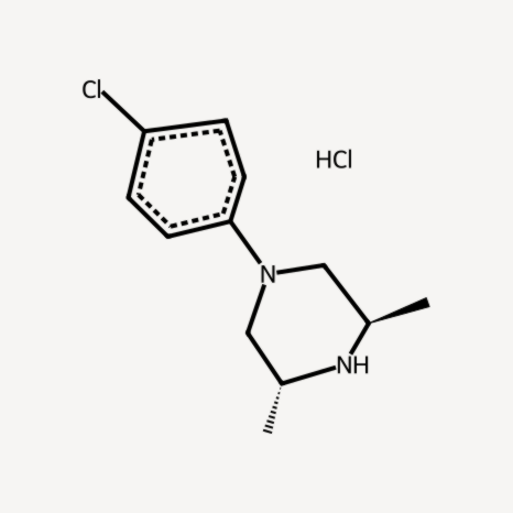 C[C@@H]1CN(c2ccc(Cl)cc2)C[C@@H](C)N1.Cl